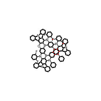 Fc1cccc(F)c1N1c2cc3c(cc2B2c4cc5c(cc4Oc4c2c1c1c2ccccc2n2c6ccccc6c4c12)N(c1c(F)cccc1F)c1c2c(c4c6ccccc6n6c7ccccc7c1c46)N(c1ccccc1)c1ccccc1B52)B1c2ccccc2N(c2ccccc2)c2c1c(c1c4ccccc4n4c5ccccc5c2c14)N3c1c(F)cccc1F